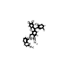 CC(=O)c1ccc2cccc(NCc3c(N)ccc4c(-c5cc(C)ccc5C(=O)O)c5cc(Cl)c(=O)cc-5oc34)c2n1